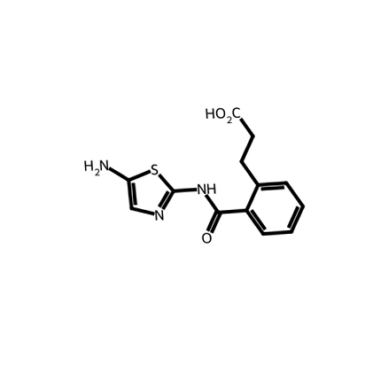 Nc1cnc(NC(=O)c2ccccc2CCC(=O)O)s1